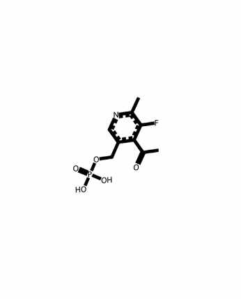 CC(=O)c1c(COP(=O)(O)O)cnc(C)c1F